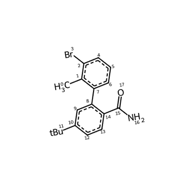 Cc1c(Br)cccc1-c1cc(C(C)(C)C)ccc1C(N)=O